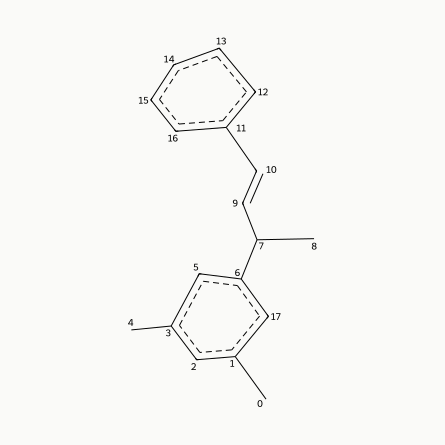 Cc1cc(C)cc(C(C)/C=C/c2ccccc2)c1